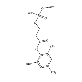 CCCOP(=O)(CCC)OCCC(=O)Oc1c(C)cc(C)cc1C(C)(C)C